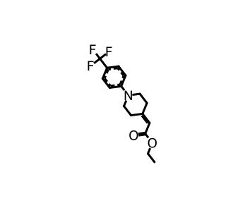 CCOC(=O)C=C1CCN(c2ccc(C(F)(F)F)cc2)CC1